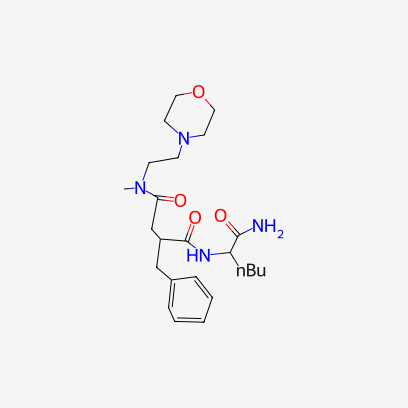 CCCCC(NC(=O)C(CC(=O)N(C)CCN1CCOCC1)Cc1ccccc1)C(N)=O